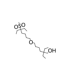 CCC(CC)(CO)CCCCOCCCCC(CC)(CC)S(C)(=O)=O